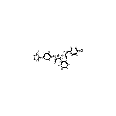 CN1CCN=C1c1ccc(NC(=O)C(NC(=O)Nc2ccc(Cl)cc2)c2ccccc2)cc1